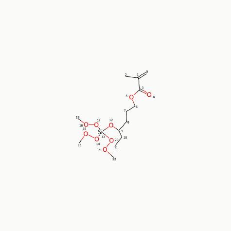 C=C(C)C(=O)OCCCC(CC)O[Si](OOC)(OOC)OOC